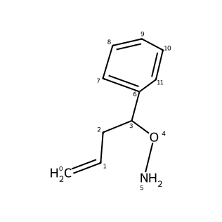 C=CCC(ON)c1ccccc1